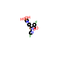 COC(=O)C1CC(F)CCC1c1nc(-c2ccc(F)cn2)sc1-c1ccc(N2CCS(O)(O)CC2)cc1